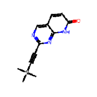 C[Si](C)(C)C#Cc1ncc2ccc(=O)[nH]c2n1